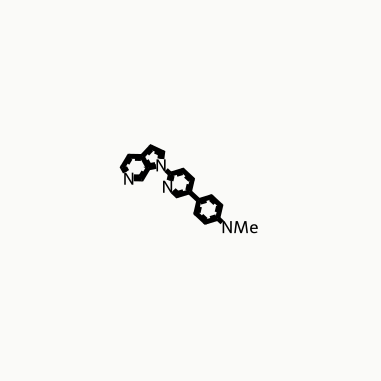 CNc1ccc(-c2ccc(-n3ccc4ccncc43)nc2)cc1